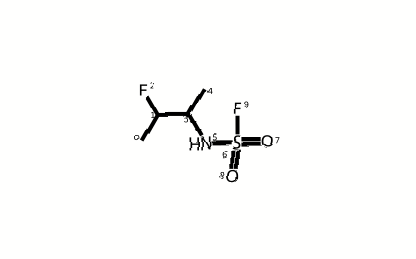 CC(F)C(C)NS(=O)(=O)F